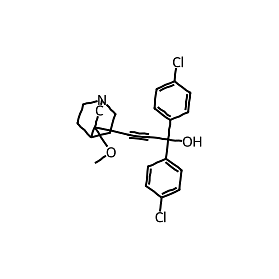 COC1(C#CC(O)(c2ccc(Cl)cc2)c2ccc(Cl)cc2)CN2CCC1CC2